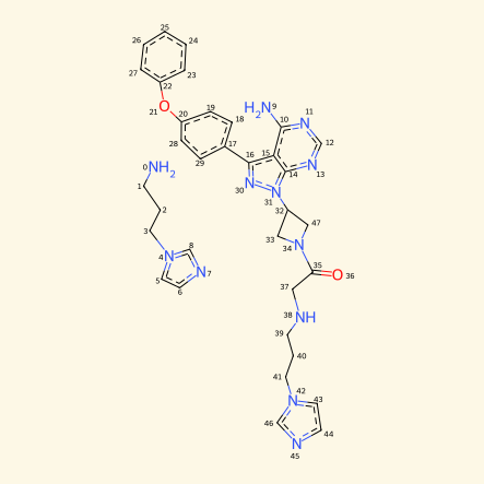 NCCCn1ccnc1.Nc1ncnc2c1c(-c1ccc(Oc3ccccc3)cc1)nn2C1CN(C(=O)CNCCCn2ccnc2)C1